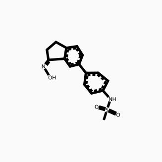 CS(=O)(=O)Nc1ccc(-c2ccc3c(c2)/C(=N\O)CC3)cc1